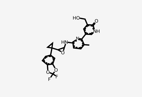 Cc1ccc(NC2OC2C2(c3ccc4c(c3)OC(F)(F)O4)CC2)nc1-c1c[nH]c(=O)c(CO)c1